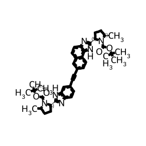 CC1CC[C@@H](c2nc3ccc(C#Cc4ccc5c(ccc6nc([C@@H]7CC[C@H](C)N7C(=O)OC(C)(C)C)[nH]c65)c4)cc3[nH]2)N1C(=O)OC(C)(C)C